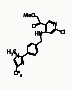 COCC(=O)c1cnc(Cl)cc1NCc1ccc(-c2nc(C(F)(F)F)cn2C)cc1